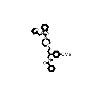 COc1ccc(C(CCN2CCCN(c3nc4ccccc4n3Cc3ccco3)CC2)CN(C)C(=O)c2ccccc2)cc1